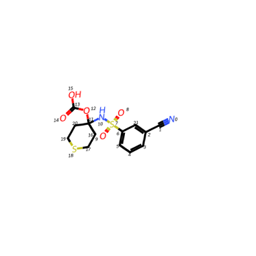 N#Cc1cccc(S(=O)(=O)NC2(OC(=O)O)CCSCC2)c1